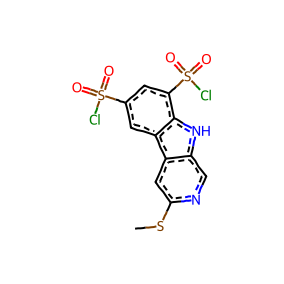 CSc1cc2c(cn1)[nH]c1c(S(=O)(=O)Cl)cc(S(=O)(=O)Cl)cc12